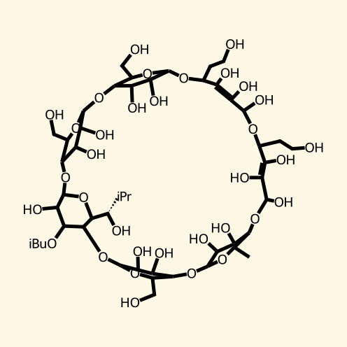 CC(C)COC1C(O)C2OC3C(CO)OC(OC4C(CO)OC(OC(CCO)/C(O)=C(/O)C(O)OC(CCO)/C(O)=C(\O)C(O)OC5C(C)OC(OC6C(CO)OC(OC1C([C@@H](O)C(C)C)O2)C(O)C6O)C(O)C5O)C(O)C4O)C(O)C3O